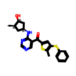 [CH2][C@@H]1C[C@@H](Nc2ncncc2C(=O)c2cc(Sc3ccccc3)c(C)s2)C[C@@H]1O